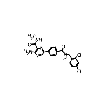 CNC(=O)c1nc(-c2ccc(C(=O)NCc3ccc(Cl)cc3Cl)cc2)cnc1N